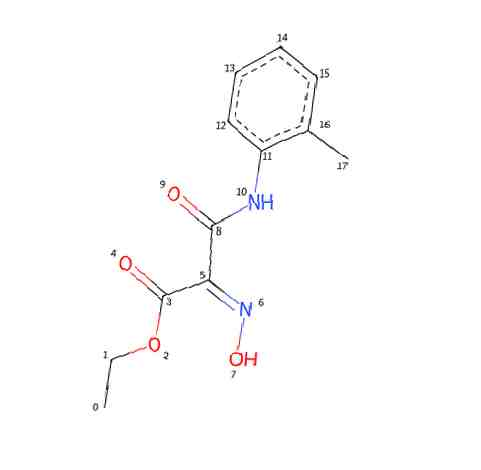 CCOC(=O)C(=NO)C(=O)Nc1ccccc1C